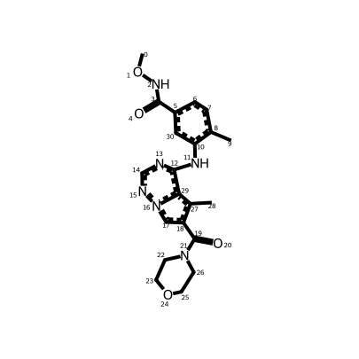 CONC(=O)c1ccc(C)c(Nc2ncnn3cc(C(=O)N4CCOCC4)c(C)c23)c1